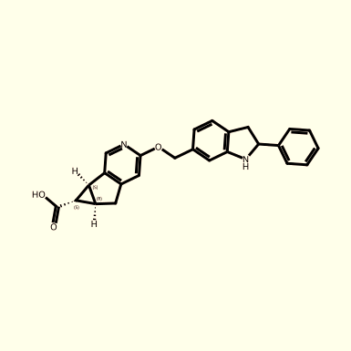 O=C(O)[C@H]1[C@@H]2Cc3cc(OCc4ccc5c(c4)NC(c4ccccc4)C5)ncc3[C@@H]21